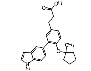 CC1(Oc2ccc(CCC(=O)O)cc2-c2ccc3[nH]ccc3c2)CCCC1